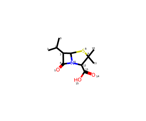 CC(C)C1C(=O)N2C1SC(C)(C)C2C(=O)O